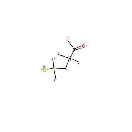 CC(=O)C(C)(C)CC(C)(C)S